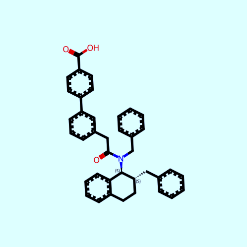 O=C(O)c1ccc(-c2cccc(CC(=O)N(Cc3ccccc3)[C@@H]3c4ccccc4CC[C@H]3Cc3ccccc3)c2)cc1